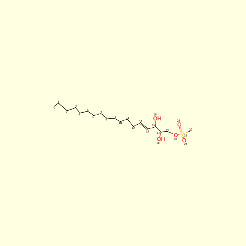 CCCCCCCCCCCCC/C=C/C(O)C(O)COS(C)(=O)=O